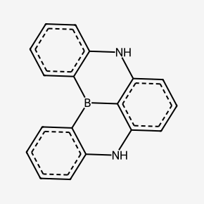 c1ccc2c(c1)Nc1cccc3c1B2c1ccccc1N3